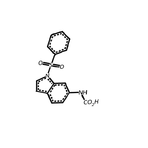 O=C(O)Nc1ccc2ccn(S(=O)(=O)c3ccccc3)c2c1